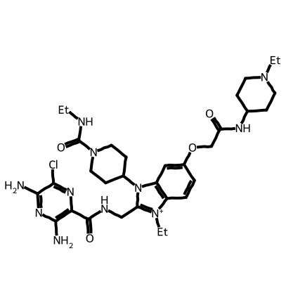 CCNC(=O)N1CCC(n2c(CNC(=O)c3nc(Cl)c(N)nc3N)[n+](CC)c3ccc(OCC(=O)NC4CCN(CC)CC4)cc32)CC1